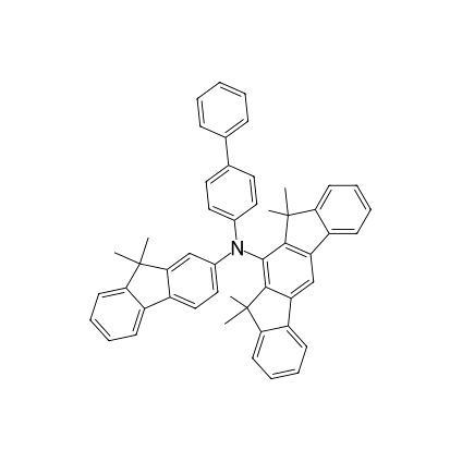 CC1(C)c2ccccc2-c2ccc(N(c3ccc(-c4ccccc4)cc3)c3c4c(cc5c3C(C)(C)c3ccccc3-5)-c3ccccc3C4(C)C)cc21